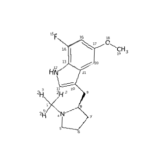 [2H]C([2H])([2H])N1CCC[C@@H]1Cc1c[nH]c2c(F)cc(OC)cc12